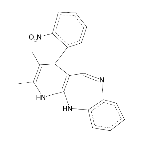 CC1=C(C)C(c2ccccc2[N+](=O)[O-])C2=C(N1)Nc1ccccc1N=C2